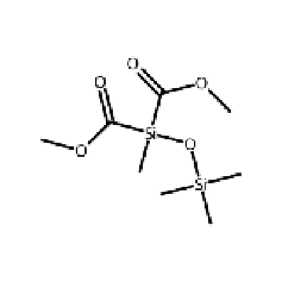 COC(=O)[Si](C)(O[Si](C)(C)C)C(=O)OC